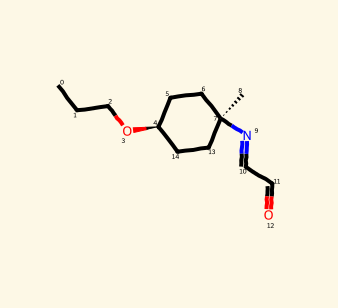 CCCO[C@H]1CC[C@@](C)(N=CC=O)CC1